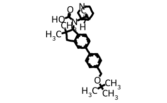 CC(C)(C)OCc1ccc(-c2ccc3c(c2)CC(C)(C)C3N(C(=O)O)[C@@H]2CN3CCC2CC3)cc1